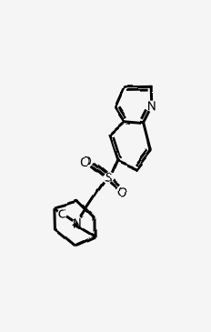 O=S(=O)(c1ccc2ncccc2c1)N1CC2CCC(CC2)C1